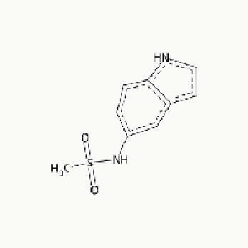 CS(=O)(=O)Nc1ccc2[nH]ccc2c1